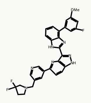 COc1cc(F)cc(-c2cccc3[nH]c(-c4n[nH]c5ccc(-c6cncc(CN7CCC(F)(F)C7)c6)nc45)nc23)c1